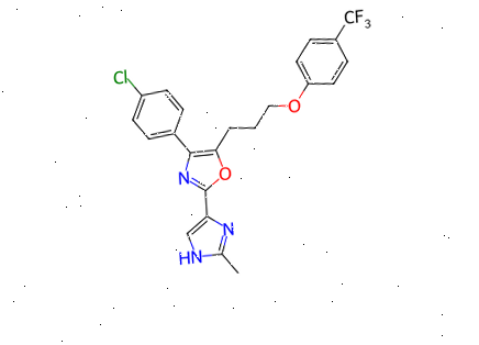 Cc1nc(-c2nc(-c3ccc(Cl)cc3)c(CCCOc3ccc(C(F)(F)F)cc3)o2)c[nH]1